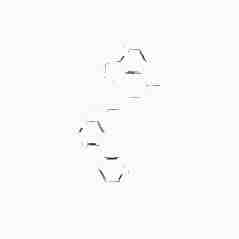 Cc1ccc(-c2cc(NCS[C@@H](C)C(C)c3ccnc4c3OC[C@H]4C)ncn2)cn1